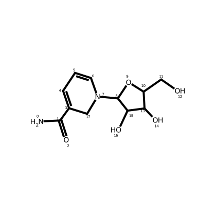 NC(=O)C1=CC=CN(C2OC(CO)C(O)C2O)C1